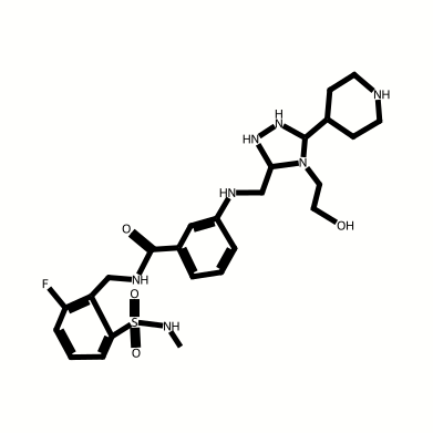 CNS(=O)(=O)c1cccc(F)c1CNC(=O)c1cccc(NCC2NNC(C3CCNCC3)N2CCO)c1